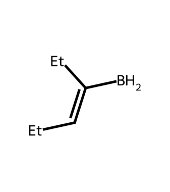 B/C(=C/CC)CC